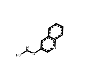 OBOc1cnc2ccccc2c1